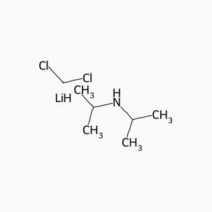 CC(C)NC(C)C.ClCCl.[LiH]